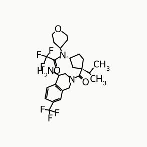 CC(C)[C@]1(C(=O)N2Cc3cc(C(F)(F)F)ccc3C(N)C2)CC[C@@H](N(C(=O)C(F)(F)F)C2CCOCC2)C1